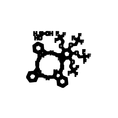 FC(F)(F)COc1c(OCC(F)(F)F)c(OCC(F)(F)F)c2c3nc4nc(nc5[nH]c(nc6nc(nc([nH]3)c2c1OCC(F)(F)F)-c1ccccc1-6)c1ccccc51)-c1ccccc1-4.O[SiH2]O